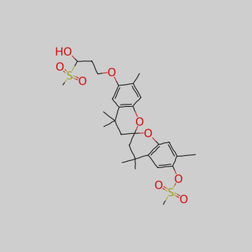 Cc1cc2c(cc1OCCC(O)S(C)(=O)=O)C(C)(C)CC1(CC(C)(C)c3cc(OS(C)(=O)=O)c(C)cc3O1)O2